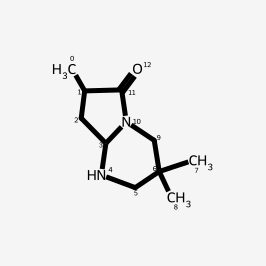 CC1CC2NCC(C)(C)CN2C1=O